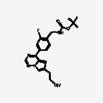 CC(C)(C)OC(=O)NCc1ccc(-c2ncnn3cc(CCO)cc23)cc1F